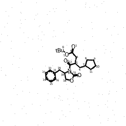 CC(C)(C)OC(=O)CC(CC1CCCC1)C(=O)N1C(=O)OCC1Cc1ccccc1